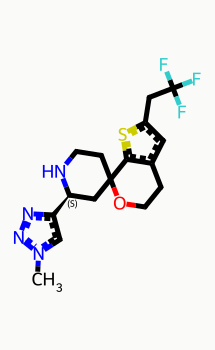 Cn1cc([C@@H]2CC3(CCN2)OCCc2cc(CC(F)(F)F)sc23)nn1